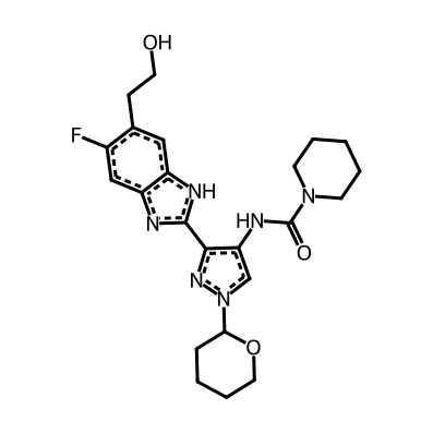 O=C(Nc1cn(C2CCCCO2)nc1-c1nc2cc(F)c(CCO)cc2[nH]1)N1CCCCC1